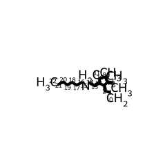 C=C/C=C1C(=C/C)\C(C)(C)C(=C)C\1=C/C=N/CCCCCCC